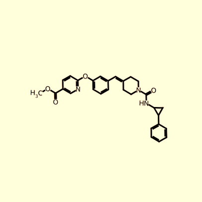 COC(=O)c1ccc(Oc2cccc(C=C3CCN(C(=O)NC4CC4c4ccccc4)CC3)c2)nc1